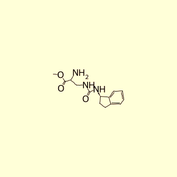 COC(=O)C(N)CNC(=O)N[C@@H]1CCc2ccccc21